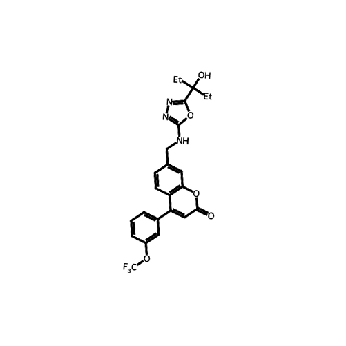 CCC(O)(CC)c1nnc(NCc2ccc3c(-c4cccc(OC(F)(F)F)c4)cc(=O)oc3c2)o1